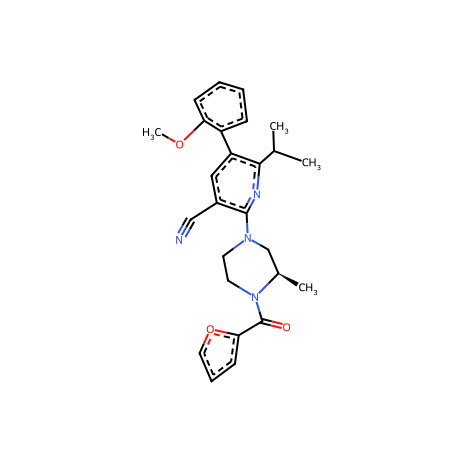 COc1ccccc1-c1cc(C#N)c(N2CCN(C(=O)c3ccco3)[C@H](C)C2)nc1C(C)C